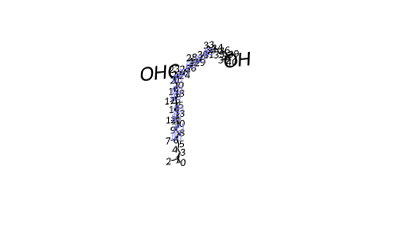 CC(C)=CCC/C(C)=C/C=C/C(C)=C/C=C/C(C)=C/C=C/C=C(C=O)\C=C\C=C(C)\C=C\C=C(/C)CCCC(C)(C)O